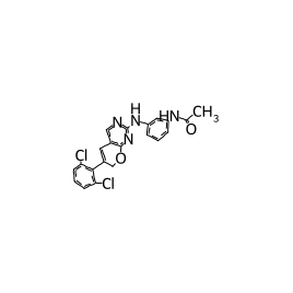 CC(=O)Nc1cccc(Nc2ncc3c(n2)OCC(c2c(Cl)cccc2Cl)=C3)c1